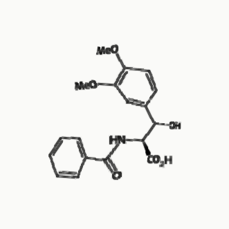 COc1ccc(C(O)[C@H](NC(=O)c2ccccc2)C(=O)O)cc1OC